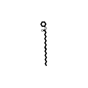 CCCCCCCC/C=C/CCCCCCCC(=O)OC1CCCCC1